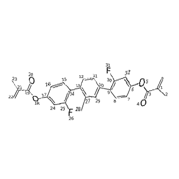 C=C(C)C(=O)Oc1ccc(-c2ccc(-c3ccc(OC(=O)C(=C)C)cc3F)c(C)c2)c(F)c1